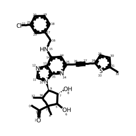 CC(=O)C1(C)C(O)[C@@H](O)[C@H](n2cnc3c(NCc4cccc(Cl)c4)cc(C#Cc4ccc(C)s4)nc32)C1C